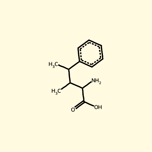 CC(c1ccccc1)C(C)C(N)C(=O)O